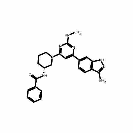 CNc1nc(-c2ccc3c(N)n[nH]c3c2)cc(N2CCC[C@@H](NC(=O)c3ccccc3)C2)n1